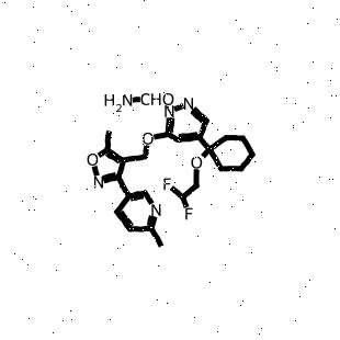 Cc1ccc(-c2noc(C)c2COc2cc(C3(OCC(F)F)CCCCC3)cnn2)cn1.NC=O